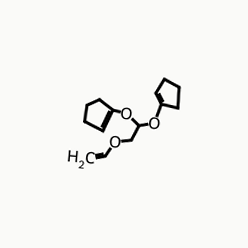 C=COCC(OC1=CCCC1)OC1=CCCC1